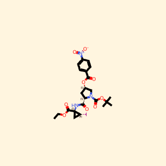 CCOC(=O)[C@@]1(NC(=O)[C@@H]2C[C@H](OC(=O)c3ccc([N+](=O)[O-])cc3)CN2C(=O)OC(C)(C)C)C[C@H]1I